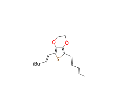 C/C=C/C=C/c1sc(/C=C/C(C)CC)c2c1OCCO2